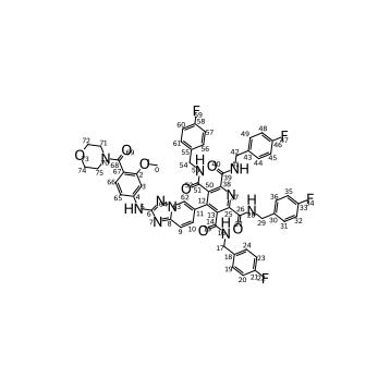 COc1cc(Nc2nc3ccc(-c4c(C(=O)NCc5ccc(F)cc5)c(C(=O)NCc5ccc(F)cc5)nc(C(=O)NCc5ccc(F)cc5)c4C(=O)NCc4ccc(F)cc4)cn3n2)ccc1C(=O)N1CCOCC1